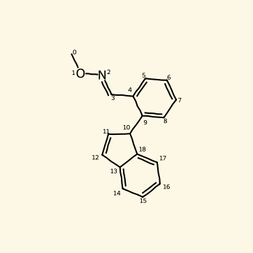 CON=Cc1ccccc1C1C=Cc2ccccc21